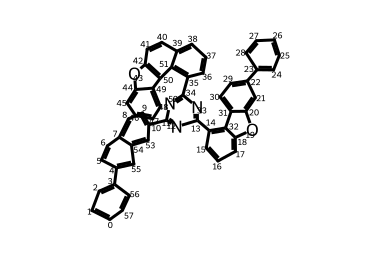 c1ccc(-c2ccc3ccc(-c4nc(-c5cccc6oc7cc(-c8ccccc8)ccc7c56)nc(-c5cccc6ccc7oc8ccccc8c7c56)n4)cc3c2)cc1